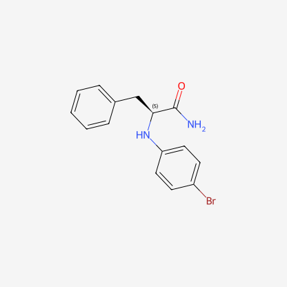 NC(=O)[C@H](Cc1ccccc1)Nc1ccc(Br)cc1